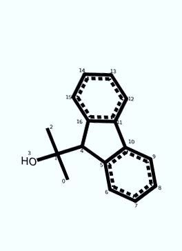 CC(C)(O)C1c2ccccc2-c2ccccc21